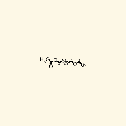 CC(=O)OCSSCOC=O